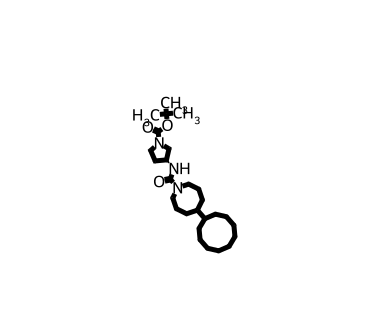 CC(C)(C)OC(=O)N1CC[C@@H](NC(=O)N2CCCC(C3CCCCCCCCC3)CCC2)C1